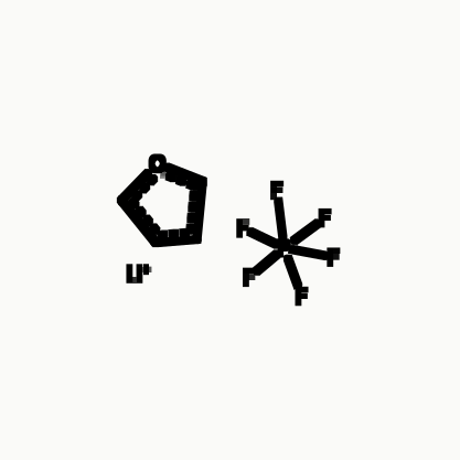 F[P-](F)(F)(F)(F)F.[Li+].c1ccoc1